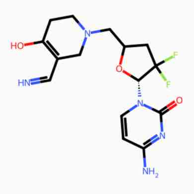 N=CC1=C(O)CCN(CC2CC(F)(F)[C@H](n3ccc(N)nc3=O)O2)C1